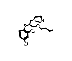 CCCCOCC(Cn1ccnc1)Sc1ccc(Cl)cc1Cl